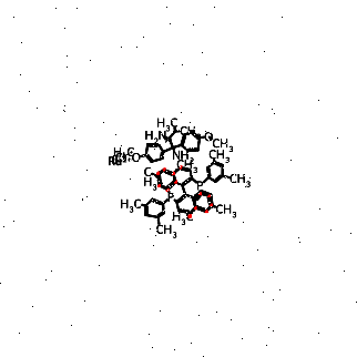 COc1ccc(C(N)(c2ccc(OC)cc2)[C@H](N)C(C)C)cc1.Cc1cc(C)cc(P(c2cc(C)cc(C)c2)c2ccc3ccccc3c2-c2c(P(c3cc(C)cc(C)c3)c3cc(C)cc(C)c3)ccc3ccccc23)c1.[Cl-].[Cl-].[Ru+2]